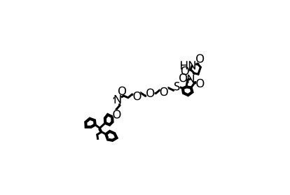 CC/C(=C(\c1ccccc1)c1ccc(OCCN(C)C(=O)CCOCCOCCOCCSc2cccc3c2C(=O)N(C2CCC(=O)NC2=O)C3=O)cc1)c1ccccc1